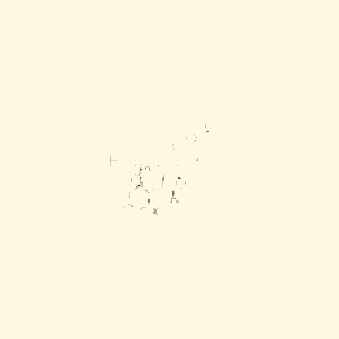 CCOC1CCC2(CC1)OC(=O)C(c1ccc(Cl)cc1Cl)=C2OC(C)=O